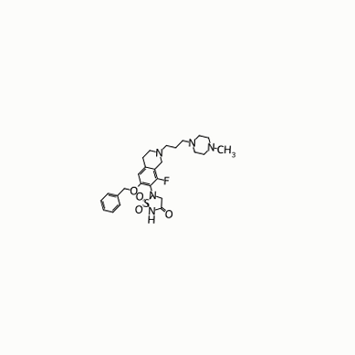 CN1CCN(CCCN2CCc3cc(OCc4ccccc4)c(N4CC(=O)NS4(=O)=O)c(F)c3C2)CC1